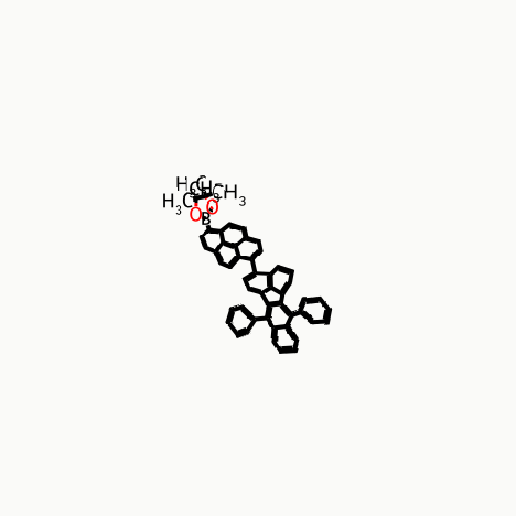 CC1(C)OB(c2ccc3ccc4c(-c5ccc6c7c(cccc57)-c5c-6c(-c6ccccc6)c6ccccc6c5-c5ccccc5)ccc5ccc2c3c54)OC1(C)C